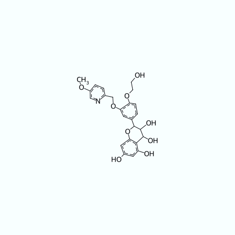 COc1ccc(COc2cc(C3Oc4cc(O)cc(O)c4C(O)C3O)ccc2OCCO)nc1